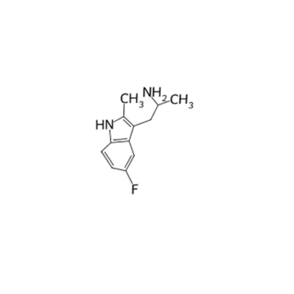 Cc1[nH]c2ccc(F)cc2c1CC(C)N